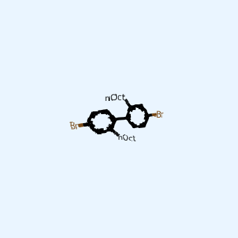 CCCCCCCCc1cc(Br)ccc1-c1ccc(Br)cc1CCCCCCCC